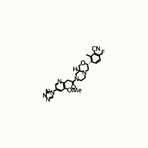 COc1cc(-n2cnnn2)cnc1CC(=O)N1CCN2C[C@@H](c3ccc(F)c(C#N)c3C)OC[C@H]2C1